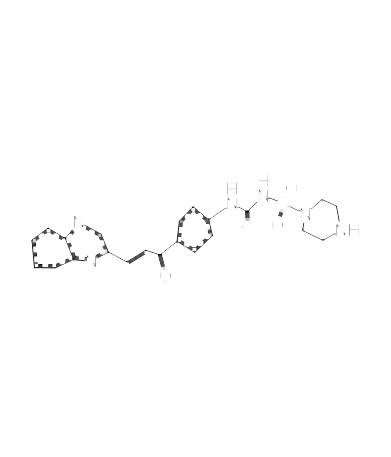 O=C(Nc1ccc(C(=O)/C=C/c2cnc3ccccc3n2)cc1)NS(=O)(=O)N1CCNCC1